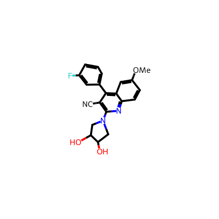 COc1ccc2nc(N3CC(O)C(O)C3)c(C#N)c(-c3cccc(F)c3)c2c1